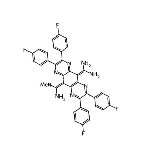 CNC(N)=c1c2nc(-c3ccc(F)cc3)c(-c3ccc(F)cc3)nc2c(=C(N)N)c2nc(-c3ccc(F)cc3)c(-c3ccc(F)cc3)nc12